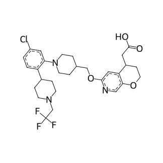 O=C(O)CC1CCOc2cnc(OCC3CCN(c4cc(Cl)ccc4C4CCN(CC(F)(F)F)CC4)CC3)cc21